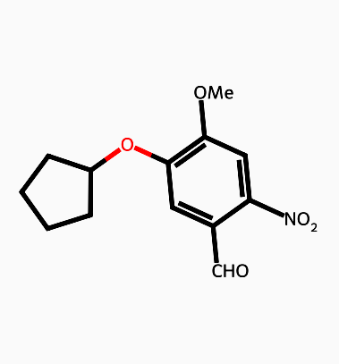 COc1cc([N+](=O)[O-])c(C=O)cc1OC1CCCC1